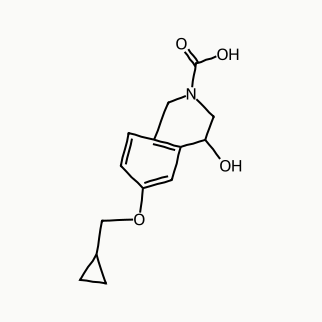 O=C(O)N1Cc2ccc(OCC3CC3)cc2C(O)C1